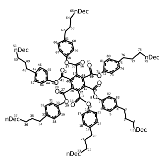 CCCCCCCCCCCCCc1ccc(OC(=O)c2c(C(=O)Oc3ccc(CCCCCCCCCCCCC)cc3)c(C(=O)Oc3ccc(CCCCCCCCCCCCC)cc3)c(C(=O)Oc3ccc(CCCCCCCCCCCCC)cc3)c(C(=O)Oc3ccc(CCCCCCCCCCCCC)cc3)c2C(=O)Oc2ccc(CCCCCCCCCCCCC)cc2)cc1